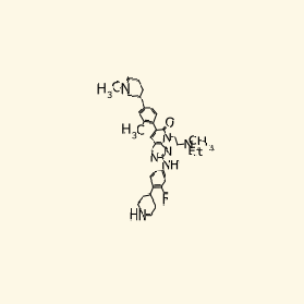 CCN(C)CCn1c(=O)c(-c2ccc(C3CCCN(C)C3)cc2C)cc2cnc(Nc3ccc(C4CCNCC4)c(F)c3)nc21